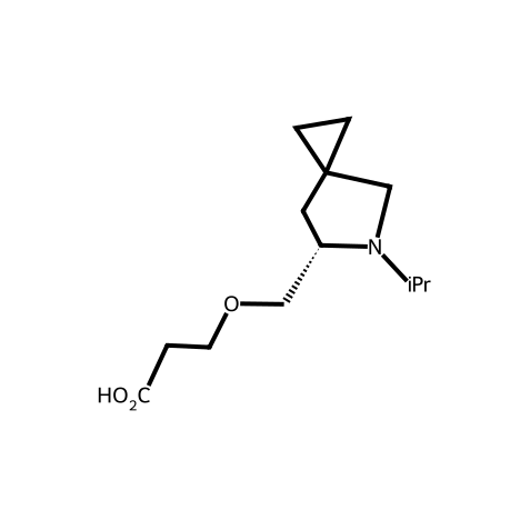 CC(C)N1CC2(CC2)C[C@H]1COCCC(=O)O